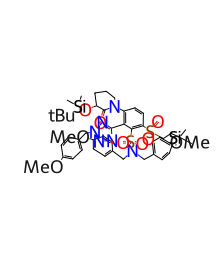 COc1ccc(CN(Cc2ccc(OC)cc2)S(=O)(=O)c2c(S(=O)(=O)CC[Si](C)(C)C)ccc(N3CCCC(O[Si](C)(C)C(C)(C)C)C3=O)c2-c2nnn(Cc3ccc(OC)cc3)n2)cc1